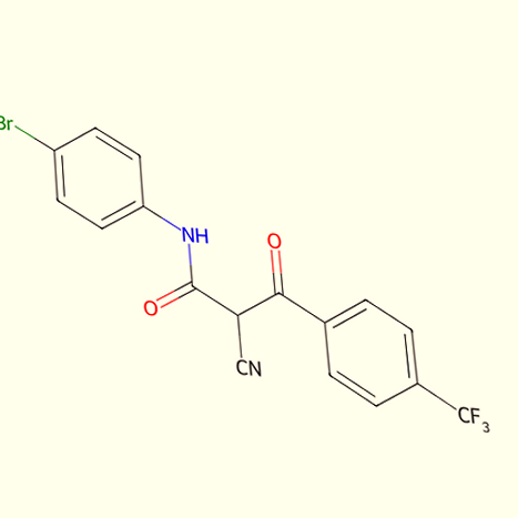 N#CC(C(=O)Nc1ccc(Br)cc1)C(=O)c1ccc(C(F)(F)F)cc1